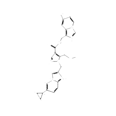 COCc1c(C(=O)NCc2ncn3ccc(Cl)cc23)cnn1Cc1cn2cc(C3CC3)ccc2n1